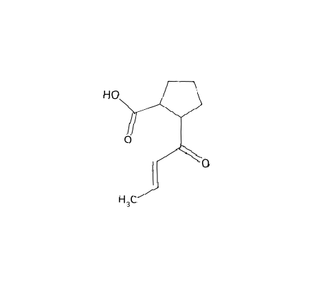 CC=CC(=O)C1CCCC1C(=O)O